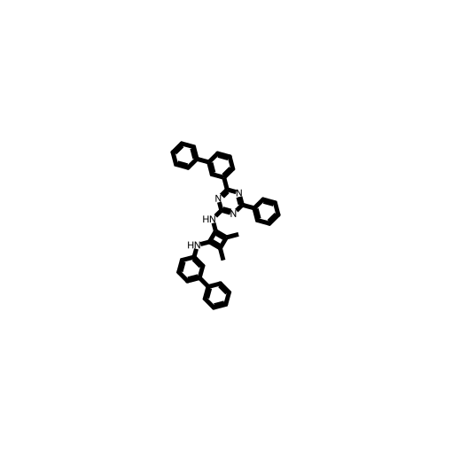 CC1=C(Nc2cccc(-c3ccccc3)c2)C(Nc2nc(-c3ccccc3)nc(-c3cccc(-c4ccccc4)c3)n2)=C1C